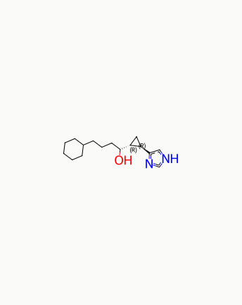 OC(CCCC1CCCCC1)[C@@H]1C[C@H]1c1c[nH]cn1